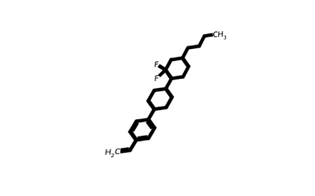 C=Cc1ccc(C2CCC(C3CCC(CCCC)CC3(F)F)CC2)cc1